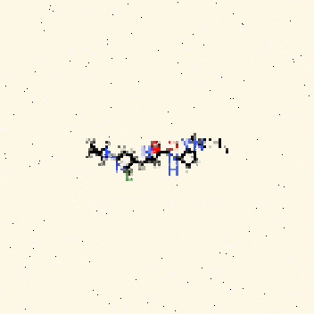 Cn1cnc2c1CC[C@H]2NC(=O)c1cc(Cc2ccc(N3CC4(CC4)C3)nc2Cl)no1